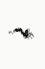 CC(=O)[C@@H](OC(C)(C)C)c1c(C)cc2nc(-c3ccnc(C4=CCN(C)CC4)n3)sc2c1-c1ccc(Cl)cc1